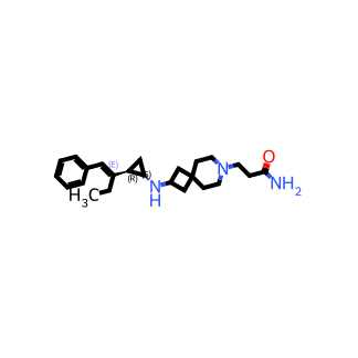 CC/C(=C\c1ccccc1)[C@H]1C[C@@H]1NC1CC2(CCN(CCC(N)=O)CC2)C1